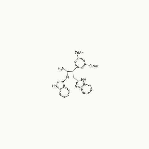 COc1cc(OC)cc(C2C(N)N(c3c[nH]c4ccccc34)C2c2nc3ccccc3[nH]2)c1